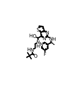 C[C@H](Nc1nc(C(O)NCCNC(=O)C(C)(C)C)c2sccc2n1)c1cncc(F)c1